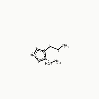 NCCc1c[nH]cn1.NO